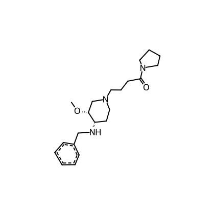 CO[C@@H]1CN(CCCC(=O)N2CCCC2)CC[C@@H]1NCc1ccccc1